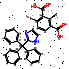 Cc1c(C(=O)O)ccc(I)c1C(=O)O.c1ccc(C(c2ccccc2)(c2ccccc2)c2ncc[nH]2)cc1